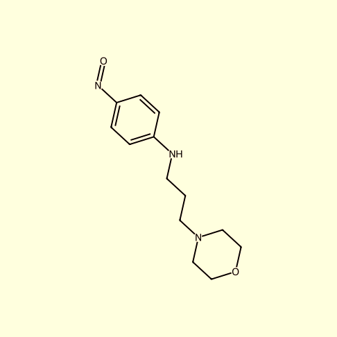 O=Nc1ccc(NCCCN2CCOCC2)cc1